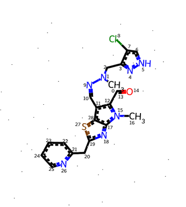 CN(Cc1n[nH]cc1Cl)/N=C\c1c(C=O)n(C)c2nc(Cc3ccccn3)sc12